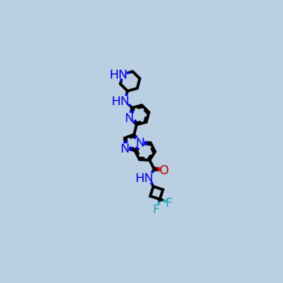 O=C(NC1CC(F)(F)C1)c1ccn2c(-c3cccc(NC4CCCNC4)n3)cnc2c1